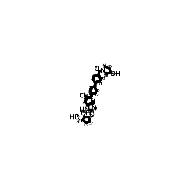 O=C(c1ccc(-c2ccc(-c3nc4nc(O[C@@H]5CC[C@H](CO)[C@H]5O)[nH]c4cc3Cl)cc2)cc1)N1CC[C@@H](O)C1